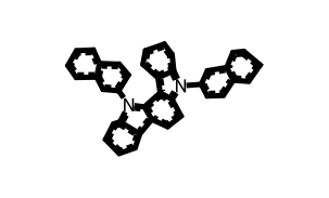 c1ccc2cc(-n3c4ccccc4c4c3ccc3c5ccccc5n(-c5ccc6ccccc6c5)c34)ccc2c1